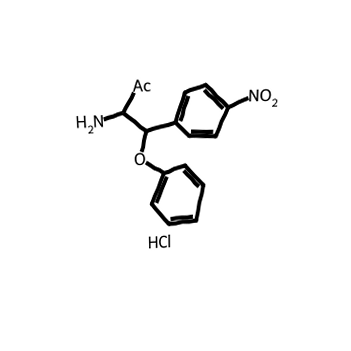 CC(=O)C(N)C(Oc1ccccc1)c1ccc([N+](=O)[O-])cc1.Cl